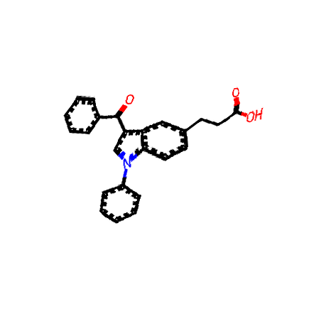 O=C(O)CCc1ccc2c(c1)c(C(=O)c1ccccc1)cn2-c1ccccc1